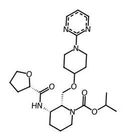 CC(C)OC(=O)N1CCC[C@H](NC(=O)[C@@H]2CCCO2)[C@@H]1COC1CCN(c2ncccn2)CC1